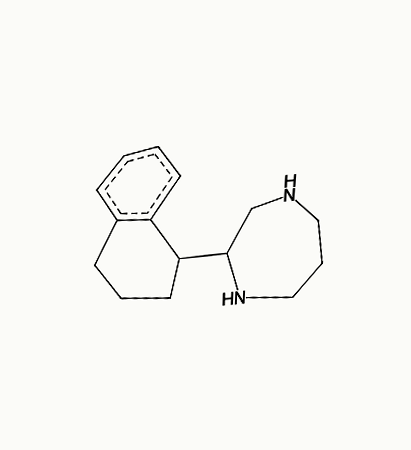 c1ccc2c(c1)CCCC2C1CNCCCN1